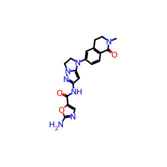 CN1CCc2cc(N3CCn4nc(NC(=O)c5cnc(N)o5)cc43)ccc2C1=O